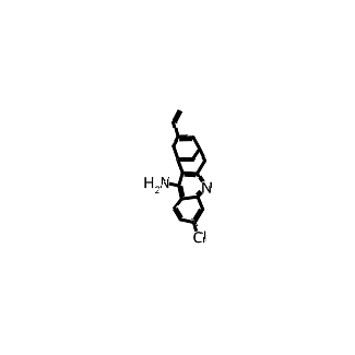 C=CC1=CC2Cc3nc4cc(Cl)ccc4c(N)c3C(C1)C2